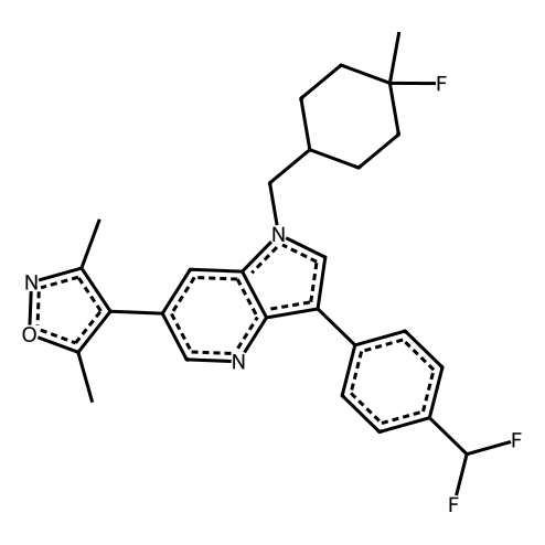 Cc1noc(C)c1-c1cnc2c(-c3ccc(C(F)F)cc3)cn(CC3CCC(C)(F)CC3)c2c1